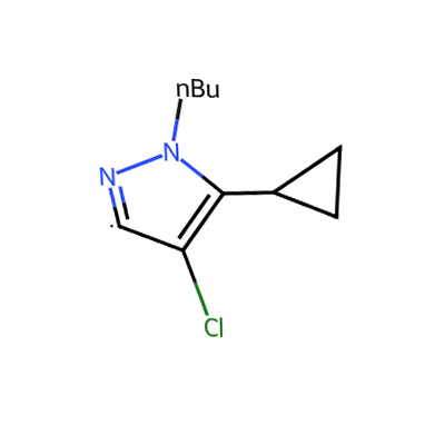 CCCCn1n[c]c(Cl)c1C1CC1